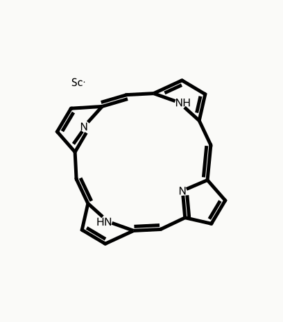 C1=Cc2cc3ccc(cc4nc(cc5ccc(cc1n2)[nH]5)C=C4)[nH]3.[Sc]